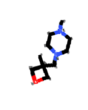 CN1CCN(CC2(C)COC2)CC1